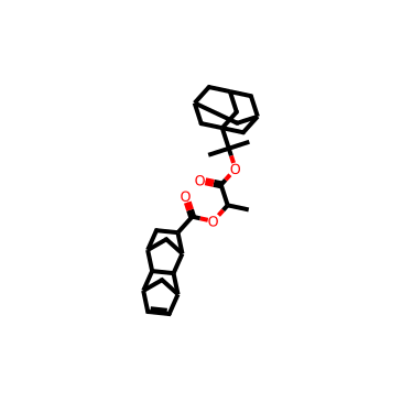 CC(OC(=O)C1CC2CC1C1C3C=CC(C3)C21)C(=O)OC(C)(C)C12CC3CC(CC(C3)C1)C2